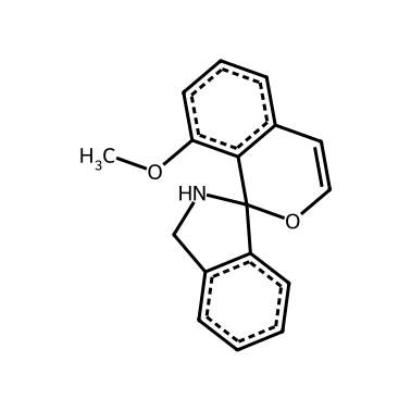 COc1cccc2c1C1(NCc3ccccc31)OC=C2